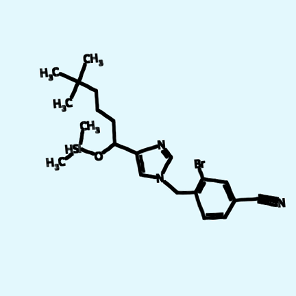 C[SiH](C)OC(CCCC(C)(C)C)c1cn(Cc2ccc(C#N)cc2Br)cn1